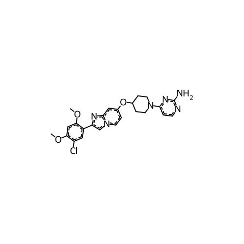 COc1cc(OC)c(-c2cn3ccc(OC4CCN(c5ccnc(N)n5)CC4)cc3n2)cc1Cl